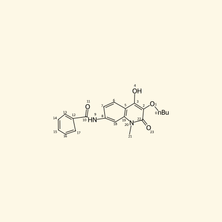 CCCCOc1c(O)c2ccc(NC(=O)c3ccccc3)cc2n(C)c1=O